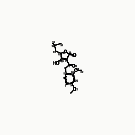 COc1ccc(CC(=O)C2=C(O)C(CC(C)C)OC2=O)c(OC)c1